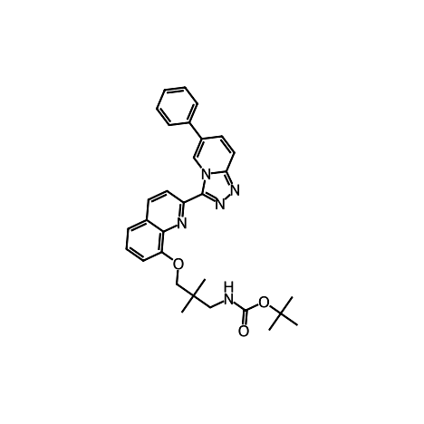 CC(C)(CNC(=O)OC(C)(C)C)COc1cccc2ccc(-c3nnc4ccc(-c5ccccc5)cn34)nc12